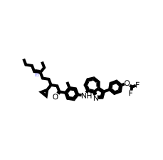 CCC/C=C(\CC)CCC(CC(=O)c1ccc(Nc2ccccc3c(-c4ccc(OC(F)F)cc4)cnc2-3)cc1C)C1CC1